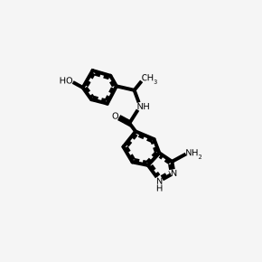 CC(NC(=O)c1ccc2[nH]nc(N)c2c1)c1ccc(O)cc1